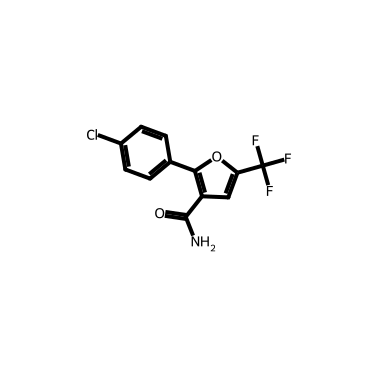 NC(=O)c1cc(C(F)(F)F)oc1-c1ccc(Cl)cc1